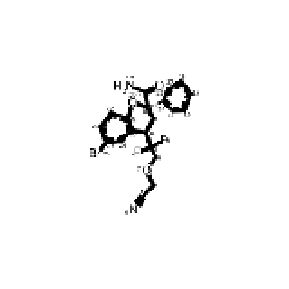 N#CCOCC(F)(F)[C]1C[C@@](C(N)=O)(c2ccccc2)Oc2ccc(Br)cc21